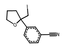 N#Cc1cccc(C2(CI)CCCO2)c1